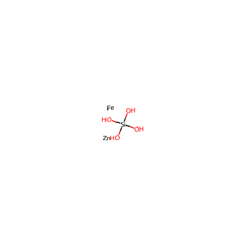 O[Si](O)(O)O.[Fe].[Zn]